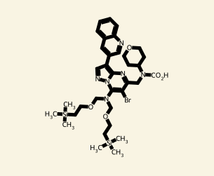 C[Si](C)(C)CCOCN(COCC[Si](C)(C)C)c1c(Br)c(CN(C(=O)O)C2CCOCC2)nc2c(-c3cnc4ccccc4c3)cnn12